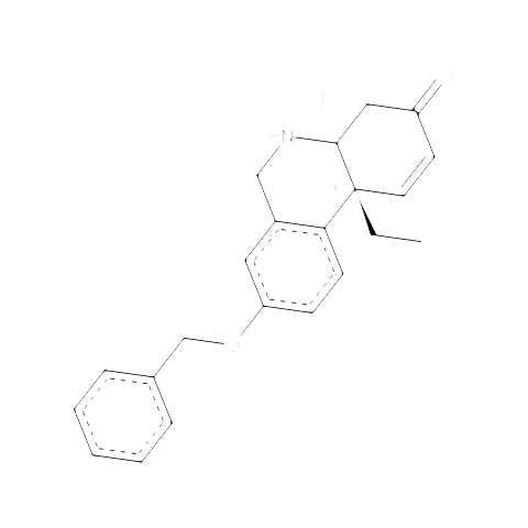 CC[C@]12C=CC(=O)C[C@@H]1NCc1cc(OCc3ccccc3)ccc12